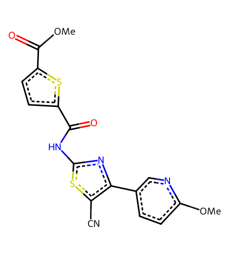 COC(=O)c1ccc(C(=O)Nc2nc(-c3ccc(OC)nc3)c(C#N)s2)s1